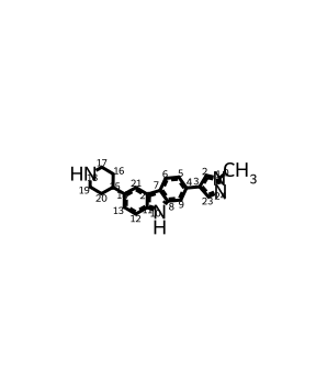 Cn1cc(-c2ccc3c(c2)[nH]c2ccc(C4CCNCC4)cc23)cn1